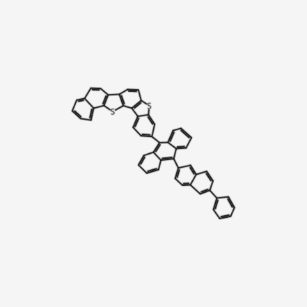 c1ccc(-c2ccc3cc(-c4c5ccccc5c(-c5ccc6c(c5)sc5ccc7c8ccc9ccccc9c8sc7c56)c5ccccc45)ccc3c2)cc1